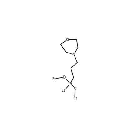 CCO[Si](CC)(CCCN1CCOCC1)OCC